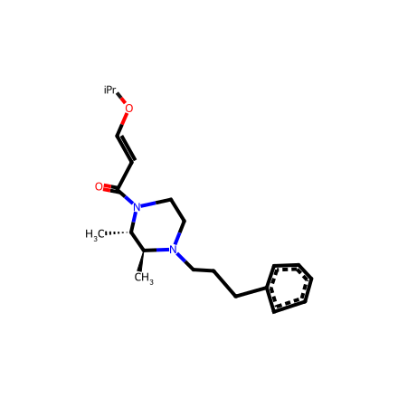 CC(C)O/C=C/C(=O)N1CCN(CCCc2ccccc2)[C@@H](C)[C@@H]1C